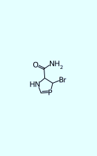 NC(=O)C1NC=PC1Br